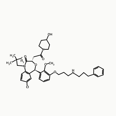 COc1c(OCCCNCCCc2ccccc2)cccc1[C@@H]1O[C@@H](CC(=O)N2CCC(O)CC2)C(=O)N(CC(C)(C)C)c2ccc(Cl)cc21